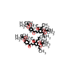 C/C=C/Cc1cc(/C=C/C(=O)c2ccc(OC(=O)C(C)(C)C)cc2)c(OCC)c(C/C=C/C)c1OC(=O)C(C)(C)C.C=CCc1cc(/C=C/C(=O)c2ccc(OC(=O)C(C)(C)C)cc2)c(OCC)c(CC=C)c1OC(=O)C(C)(C)C